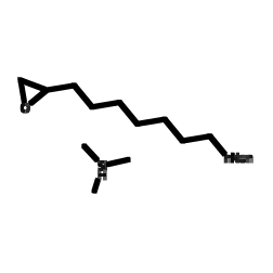 CCCCCCCCCCCCCCCCC1CO1.C[SiH](C)C